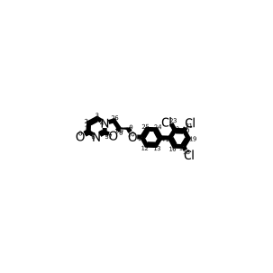 O=c1ccn2c(n1)O[C@H](COc1ccc(-c3cc(Cl)cc(Cl)c3Cl)cc1)C2